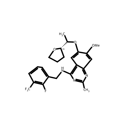 COc1cc2nc(C)nc(NCc3cccc(C(F)(F)F)c3F)c2cc1OC(C)[C@@H]1CCCO1